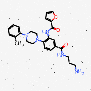 Cc1ccccc1N1CCN(c2ccc(C(=O)NCCCN)cc2NC(=O)c2ccco2)CC1